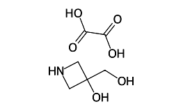 O=C(O)C(=O)O.OCC1(O)CNC1